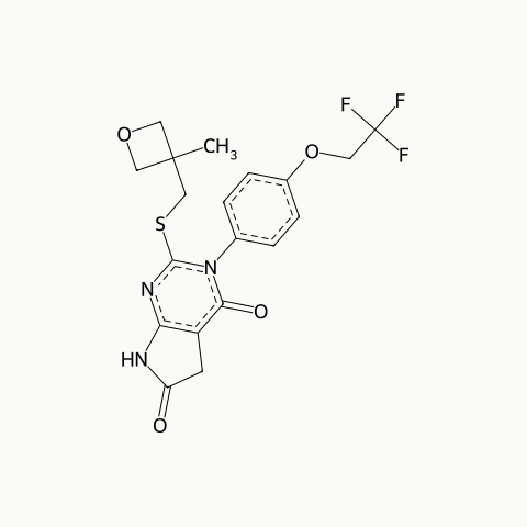 CC1(CSc2nc3c(c(=O)n2-c2ccc(OCC(F)(F)F)cc2)CC(=O)N3)COC1